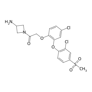 CS(=O)(=O)c1ccc(Oc2cc(Cl)ccc2OCC(=O)N2CC(N)C2)c(Cl)c1